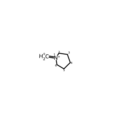 C=[N+]1CCCCC1